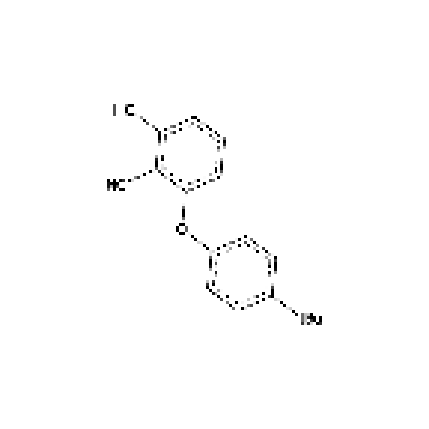 CC(C)(C)c1ccc(Oc2cccc(O)c2C#N)cc1